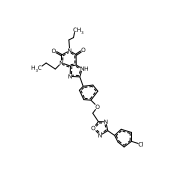 CCCn1c(=O)c2[nH]c(-c3ccc(OCc4nc(-c5ccc(Cl)cc5)no4)cc3)nc2n(CCC)c1=O